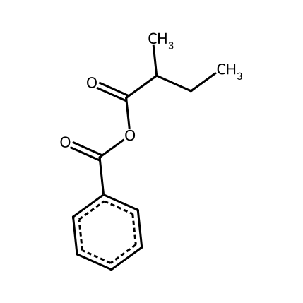 CCC(C)C(=O)OC(=O)c1ccccc1